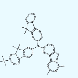 Cc1cc(C)c2sc3ccc(N(c4ccc5c(c4)C(C)(C)c4ccccc4-5)c4ccc5c(c4)C(C)(C)c4cc(C(C)(C)C)ccc4-5)cc3c2c1